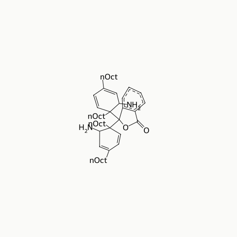 CCCCCCCCC1=CC(N)C(CCCCCCCC)(C2(C3(CCCCCCCC)C=CC(CCCCCCCC)=CC3N)OC(=O)c3ccccc32)C=C1